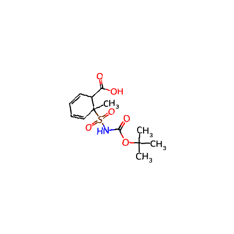 CC(C)(C)OC(=O)NS(=O)(=O)C1(C)C=CC=CC1C(=O)O